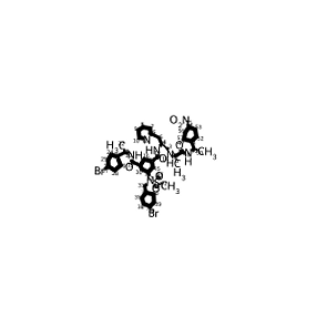 C[C@H](NC[C@H](Cc1ccccn1)NC(=O)c1cc(C(=O)N[C@H](C)c2ccc(Br)cc2)cc(N(Cc2ccc(Br)cc2)S(C)(=O)=O)c1)C(=O)N[C@H](C)c1ccc([N+](=O)[O-])cc1